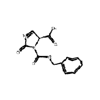 O=C(O)[C@@H]1C=NC(=O)N1C(=O)OCc1ccccc1